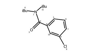 CCC(C)N(C(=O)c1cccc(Cl)c1)C(C)CC